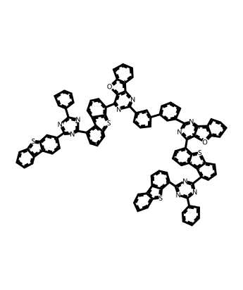 c1ccc(-c2nc(-c3ccc4c(c3)sc3ccccc34)nc(-c3cccc4sc5c(-c6nc(-c7cccc(-c8cccc(-c9nc(-c%10cccc%11c%10sc%10cccc(-c%12nc(-c%13ccccc%13)nc(-c%13cccc%14c%13sc%13ccccc%13%14)n%12)c%10%11)c%10oc%11ccccc%11c%10n9)c8)c7)nc7c6oc6ccccc67)cccc5c34)n2)cc1